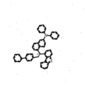 c1ccc(-c2ccc(C[C@@H](c3cccc4cc(N(c5ccccc5)c5ccccc5)ccc34)c3cccc4sc5ccccc5c34)cc2)cc1